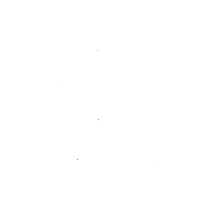 CC(C)Cn1cncc1CO